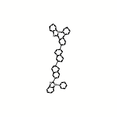 c1ccc(-n2c(-c3ccc4cc(-c5ccc6cc(-c7ccc8c9ccccc9n9c%10ccccc%10nc9c8c7)ccc6c5)ccc4c3)nc3ccccc32)cc1